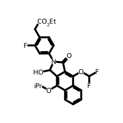 CCOC(=O)Cc1ccc(N2C(=O)c3c(c(OC(C)C)c4ccccc4c3OC(F)F)C2O)cc1F